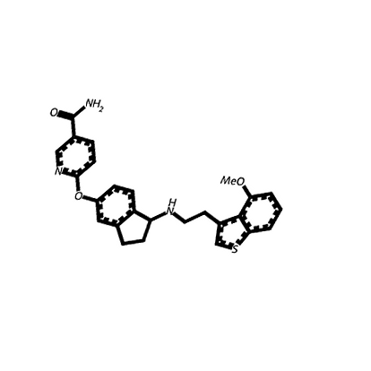 COc1cccc2scc(CCNC3CCc4cc(Oc5ccc(C(N)=O)cn5)ccc43)c12